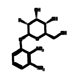 O=[N+]([O-])c1cccc(O[C@@H]2O[C@H](CO)[C@@H](O)[C@@H](O)[C@H]2F)c1[N+](=O)[O-]